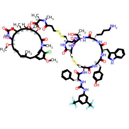 COc1cc2cc(c1Cl)N(C)C(=O)C[C@H](OC(=O)[C@H](C)N(C)C(=O)CCSSC[C@H](NC(=O)[C@@H]1CSSC[C@H](NC(=O)[C@@H](Cc3ccccc3)NC(=O)Nc3cc(C(F)(F)F)cc(C(F)(F)F)c3)C(=O)N[C@@H](Cc3ccc(O)cc3)C(=O)N[C@H](Cc3c[nH]c4ccccc34)C(=O)N[C@@H](CCCCN)C(=O)N[C@@H]([C@@H](C)O)C(=O)N1)C(N)=O)[C@]1(C)O[C@H]1[C@H](C)[C@@H]1C[C@@](O)(NC(=O)O1)[C@H](OC)/C=C/C=C(\C)C2